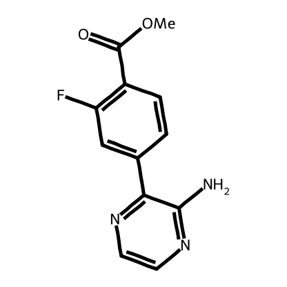 COC(=O)c1ccc(-c2nccnc2N)cc1F